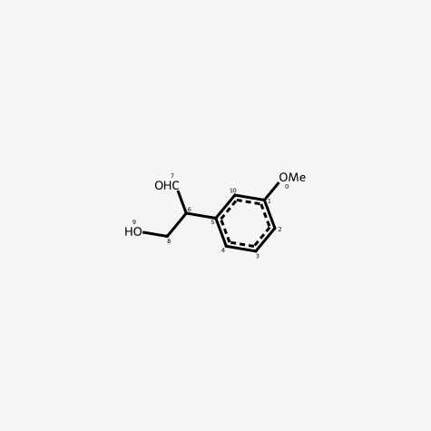 COc1cccc(C(C=O)CO)c1